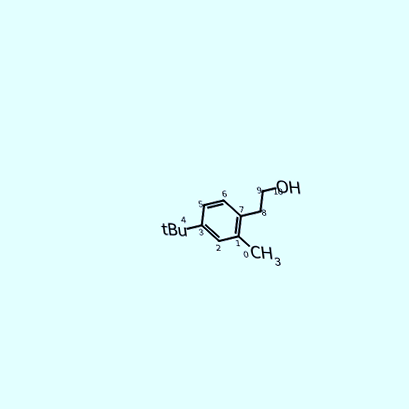 Cc1cc(C(C)(C)C)ccc1CCO